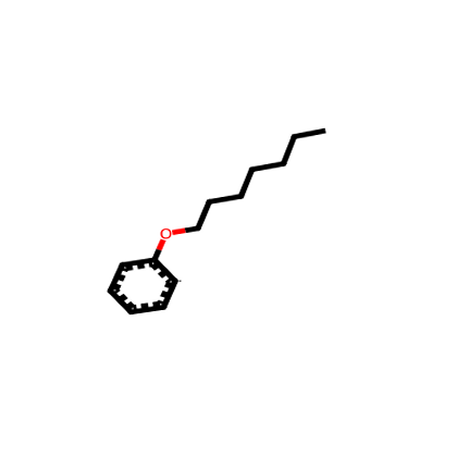 CCCCCCCOc1[c]cccc1